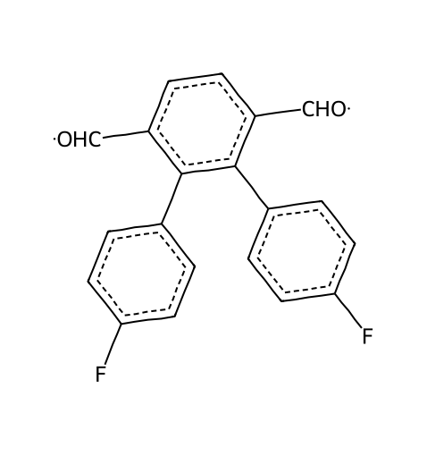 O=[C]c1ccc([C]=O)c(-c2ccc(F)cc2)c1-c1ccc(F)cc1